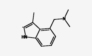 Cc1[c][nH]c2cccc(CN(C)C)c12